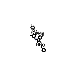 COc1cc(/C=C2/C(C)=C(CNC(=O)Cc3ccccc3)c3cc(F)ccc32)cc(C)c1OC(=O)N1CCN(C)CC1